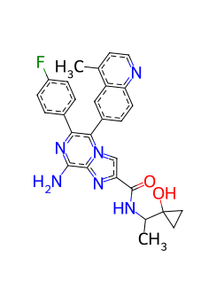 Cc1ccnc2ccc(-c3c(-c4ccc(F)cc4)nc(N)c4nc(C(=O)NC(C)C5(O)CC5)cn34)cc12